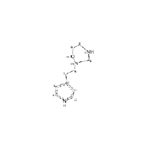 [c]1cc(CC[C@H]2CNCCO2)ccn1